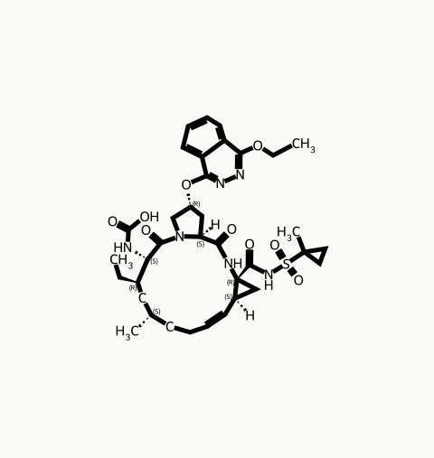 CCOc1nnc(O[C@@H]2C[C@H]3C(=O)N[C@]4(C(=O)NS(=O)(=O)C5(C)CC5)C[C@H]4C=CCC[C@H](C)C[C@@H](CC)[C@H](NC(=O)O)C(=O)N3C2)c2ccccc12